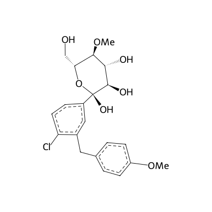 COc1ccc(Cc2cc([C@]3(O)O[C@H](CO)[C@@H](OC)[C@H](O)[C@H]3O)ccc2Cl)cc1